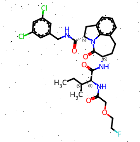 CC[C@H](C)[C@H](NC(=O)COCCF)C(=O)N[C@H]1CCc2cccc3c2N(C1=O)[C@H](C(=O)NCc1cc(Cl)cc(Cl)c1)C3